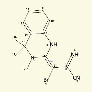 CN1/C(=C(\Br)C(=N)C#N)Nc2ccccc2C1(C)C